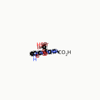 O=C(O)CCN1CCN(C2CCN(C(=O)C(Cc3cc(Br)c(O)c(Br)c3)OC(=O)N3CCC(N4CCc5ccccc5NC4=O)CC3)CC2)CC1